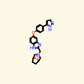 c1cc(-c2ccc(Oc3ccc4[nH]c(CN5CC6CCC(C5)O6)nc4c3)cc2)[nH]n1